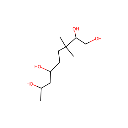 CC(O)CC(O)CCC(C)(C)C(O)CO